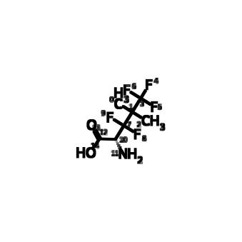 CC(C)(C(F)(F)F)C(F)(F)[C@H](N)C(=O)O